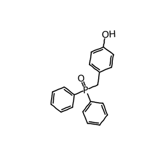 O=P(Cc1ccc(O)cc1)(c1ccccc1)c1ccccc1